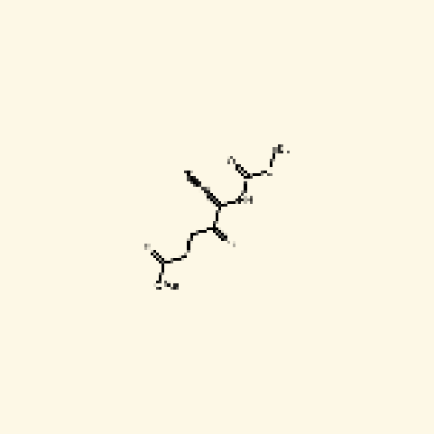 CCCCOC(=O)NC(=[N+]=[N-])C(=O)CCC(=O)OC